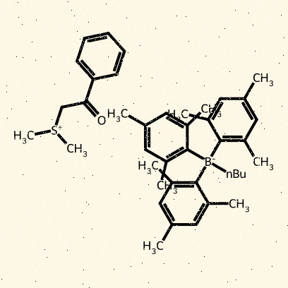 CCCC[B-](c1c(C)cc(C)cc1C)(c1c(C)cc(C)cc1C)c1c(C)cc(C)cc1C.C[S+](C)CC(=O)c1ccccc1